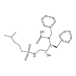 CC(C)CCCS(=O)(=O)NC[C@@H](O)[C@H](Cc1ccccc1)N(Cc1ccccc1)C(=O)O